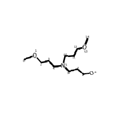 COCCCN(CCC[O])CCCOC